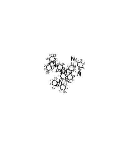 N#Cc1cccc(C#N)c1-c1ccc(-n2c3ccc(-n4c5ccccc5c5ccccc54)cc3c3cc(-n4c5ccccc5c5ccccc54)ccc32)c(-c2ccccc2)c1